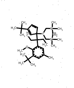 CCC(CC)(c1cc(C)cc(C(C)(C)C)c1OC)[C]1([Y]([CH2][Si](C)(C)C)[CH2][Si](C)(C)C)C=CC(C(C)(C)C)=C1